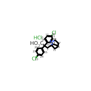 Cl.O=C(O)C(CC1CC2CCN1CC2)(c1ccc(Cl)cc1)c1ccc(Cl)cc1